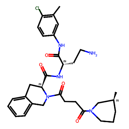 Cc1cc(NC(=O)[C@H](CCN)NC(=O)[C@@H]2Cc3ccccc3CN2C(=O)CCC(=O)N2CCC[C@H](C)C2)ccc1Cl